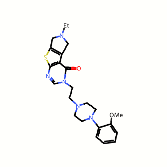 CCN1Cc2sc3ncn(CCN4CCN(c5ccccc5OC)CC4)c(=O)c3c2C1